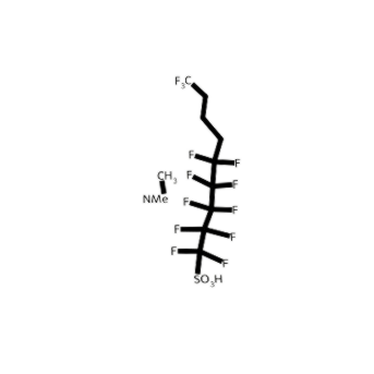 CNC.O=S(=O)(O)C(F)(F)C(F)(F)C(F)(F)C(F)(F)C(F)(F)CCCC(F)(F)F